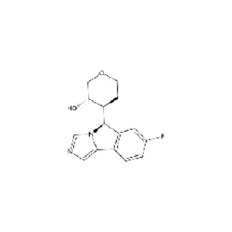 O[C@@H]1COCC[C@H]1[C@H]1c2cc(F)ccc2-c2cncn21